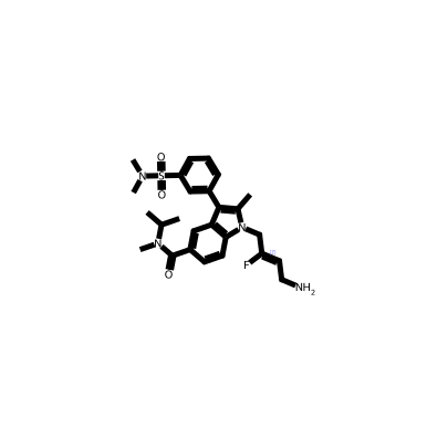 Cc1c(-c2cccc(S(=O)(=O)N(C)C)c2)c2cc(C(=O)N(C)C(C)C)ccc2n1C/C(F)=C/CN